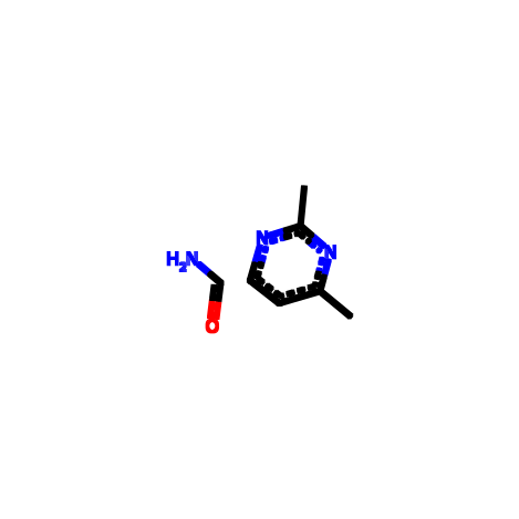 Cc1ccnc(C)n1.NC=O